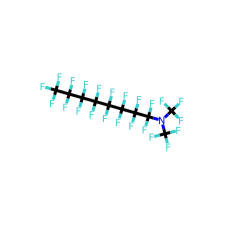 FC(F)(F)N(C(F)(F)F)C(F)(F)C(F)(F)C(F)(F)C(F)(F)C(F)(F)C(F)(F)C(F)(F)C(F)(F)F